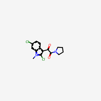 Cn1c(Cl)c(C(=O)C(=O)N2CCCC2)c2ccc(Cl)cc21